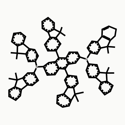 CC1(C)C2=C(C=CCC2)c2ccc(N(c3ccc4c(c3)C(C)(C)c3ccccc3-4)c3ccc4c(-c5ccc6c(c5)C(C)(C)c5ccccc5-6)c5cc(N(c6ccc7c(c6)C(C)(C)c6ccccc6-7)c6ccc7c(c6)C(C)(C)c6ccccc6-7)ccc5c(-c5ccc6c(c5)-c5ccccc5C6(C)C)c4c3)cc21